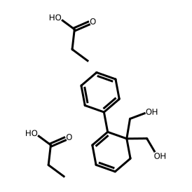 CCC(=O)O.CCC(=O)O.OCC1(CO)CC=CC=C1c1ccccc1